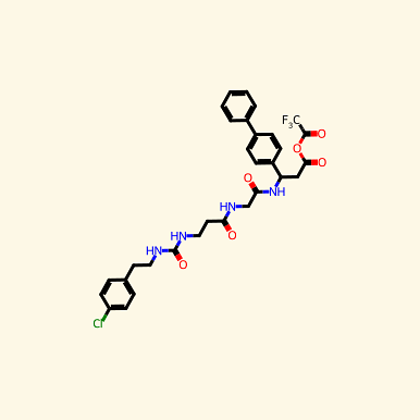 O=C(CCNC(=O)NCCc1ccc(Cl)cc1)NCC(=O)NC(CC(=O)OC(=O)C(F)(F)F)c1ccc(-c2ccccc2)cc1